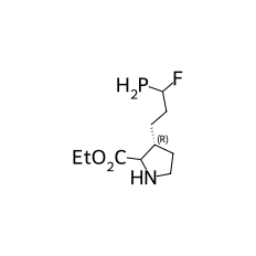 CCOC(=O)C1NCC[C@H]1CCC(F)P